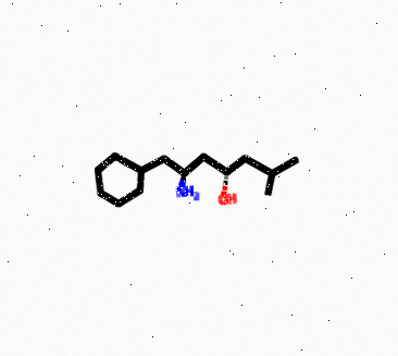 CC(C)C[C@H](O)C[C@@H](N)CC1CCCCC1